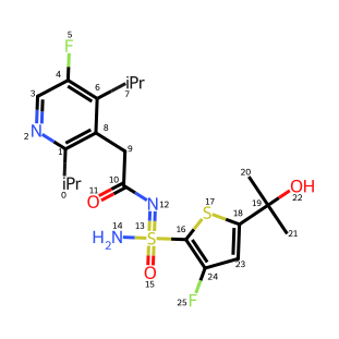 CC(C)c1ncc(F)c(C(C)C)c1CC(=O)N=S(N)(=O)c1sc(C(C)(C)O)cc1F